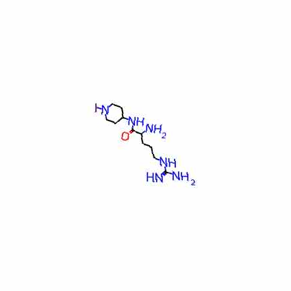 N=C(N)NCCC[C@H](N)C(=O)NC1CCN(I)CC1